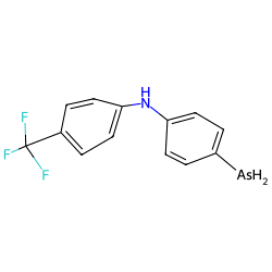 FC(F)(F)c1ccc(Nc2ccc([AsH2])cc2)cc1